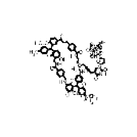 C=c1ccc2c(c1)Oc1c(ccc(O)c1CNC(=O)c1ccc(CNc3cc(Cl)c(C(=O)O)c(-c4c5ccc(=[N+](C)C)cc-5oc5cc(N(C)C)ccc45)c3Cl)cc1)C=2c1cc(C(=O)CCc2ccc(C(=O)NCCOCC#CCc3cn([C@H]4CC[C@@H](COP(OO)(OOO)(P(=O)=O)P(=O)=O)O4)c(=O)[nH]c3=O)cc2)ccc1C(=O)O